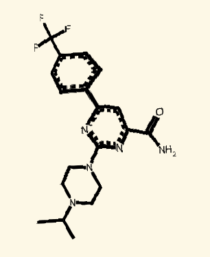 CC(C)N1CCN(c2nc(C(N)=O)cc(-c3ccc(C(F)(F)F)cc3)n2)CC1